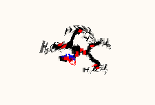 CC(C)(C)c1ccc(/C=C/c2cc(/C=C/c3ccc(C(C)(C)C)cc3)cc(/C=C/c3cc(/C=C/c4cc(/C=C/c5ccc(C(C)(C)C)cc5)cc(/C=C/c5ccc(C(C)(C)C)cc5)c4)cc(CNC(=O)C4CCCC4)c3)c2)cc1